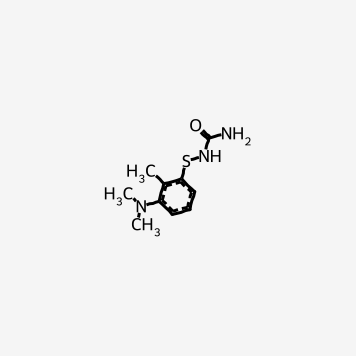 Cc1c(SNC(N)=O)cccc1N(C)C